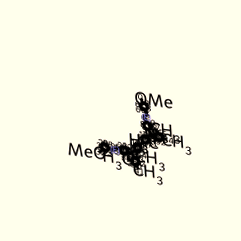 COc1ccc(/C=C/c2ccc(N(c3ccc(-c4ccc(N(c5ccc(/C=C/c6cccc(OC)c6)cc5)c5c(C)cc(C)cc5C)cc4)cc3)c3c(C)cc(C)cc3C)cc2)cc1